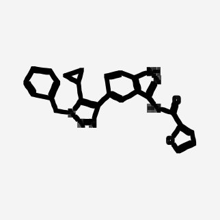 O=C(Nc1n[nH]c2ccc(-c3nnn(Cc4ccccc4)c3C3CC3)cc12)c1ccco1